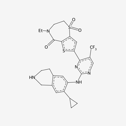 CCN1CCS(=O)(=O)c2cc(-c3nc(Nc4cc5c(cc4C4CC4)CNCC5)ncc3C(F)(F)F)sc2C1=O